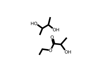 CC(O)C(C)O.CCOC(=O)C(C)O